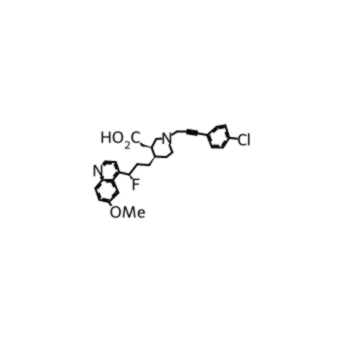 COc1ccc2nccc([C@H](F)CC[C@@H]3CCN(CC#Cc4ccc(Cl)cc4)C[C@@H]3CC(=O)O)c2c1